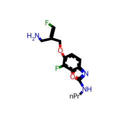 CCCNc1nc2ccc(OCC(=CF)CN)c(F)c2o1